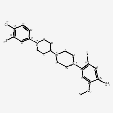 COc1cc(N2CCN(C3CCN(c4ccc(Cl)c(F)c4)CC3)CC2)c(F)cc1N